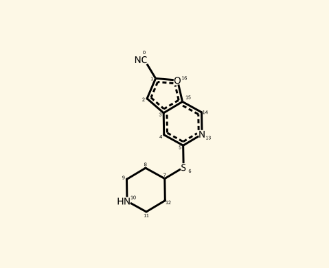 N#Cc1cc2cc(SC3CCNCC3)ncc2o1